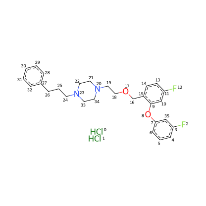 Cl.Cl.Fc1cccc(Oc2cc(F)ccc2COCCN2CCN(CCCc3ccccc3)CC2)c1